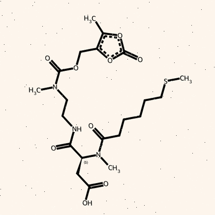 CSCCCCCC(=O)N(C)[C@@H](CC(=O)O)C(=O)NCCN(C)C(=O)OCc1oc(=O)oc1C